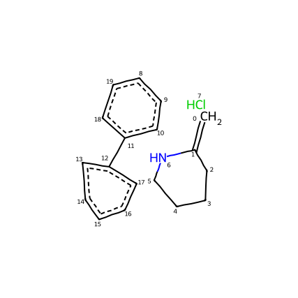 C=C1CCCCN1.Cl.c1ccc(-c2ccccc2)cc1